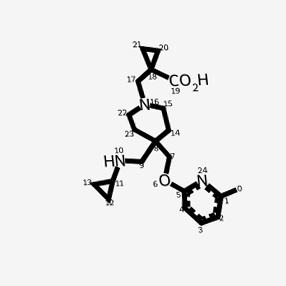 Cc1cccc(OCC2(CNC3CC3)CCN(CC3(C(=O)O)CC3)CC2)n1